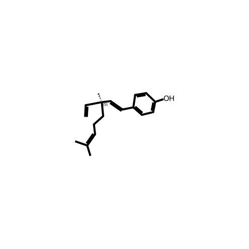 C=C[C@@](C)(C=Cc1ccc(O)cc1)CCC=C(C)C